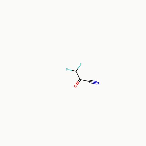 N#CC(=O)C(F)F